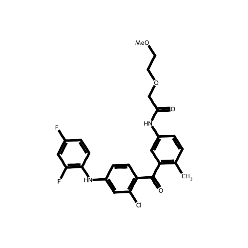 COCCOCC(=O)Nc1ccc(C)c(C(=O)c2ccc(Nc3ccc(F)cc3F)cc2Cl)c1